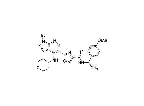 CCn1ncc2c(NC3CCOCC3)c(-c3nc(C(=O)N[C@H](C)c4ccc(OC)cc4)co3)cnc21